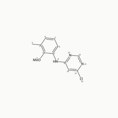 COc1c(C)cccc1Nc1cc(Cl)ncn1